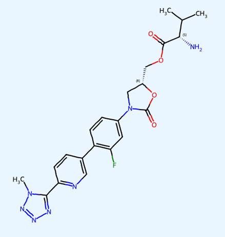 CC(C)[C@H](N)C(=O)OC[C@H]1CN(c2ccc(-c3ccc(-c4nnnn4C)nc3)c(F)c2)C(=O)O1